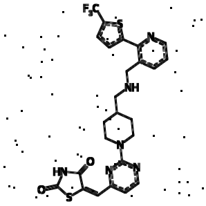 O=C1NC(=O)/C(=C\c2ccnc(N3CCC(CNCc4cccnc4-c4ccc(C(F)(F)F)s4)CC3)n2)S1